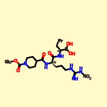 CC(C)C[C@H](NC(=O)[C@H](CCCNC(=N)N[N+](=O)[O-])NC(=O)C1CCN(C(=O)OC(C)(C)C)CC1)B(O)O